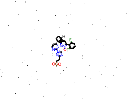 CC1(C)[C@H]2CC[C@]1(c1ccnc(-n3cnc(CCS(C)(=O)=O)n3)n1)c1n[n+]([O-])c(-c3c(F)cccc3F)cc12